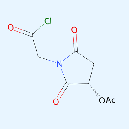 CC(=O)O[C@H]1CC(=O)N(CC(=O)Cl)C1=O